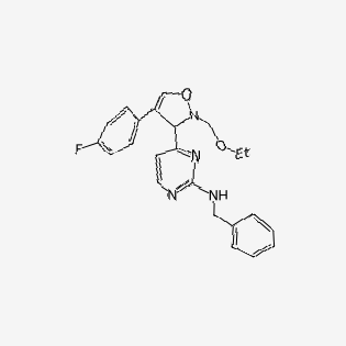 CCOCN1OC=C(c2ccc(F)cc2)C1c1ccnc(NCc2ccccc2)n1